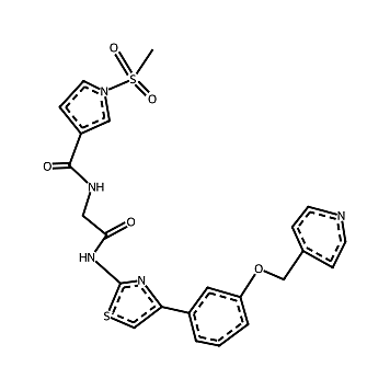 CS(=O)(=O)n1ccc(C(=O)NCC(=O)Nc2nc(-c3cccc(OCc4ccncc4)c3)cs2)c1